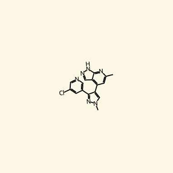 Cc1cc(-c2cn(C)nc2-c2cncc(Cl)c2)c2cn[nH]c2n1